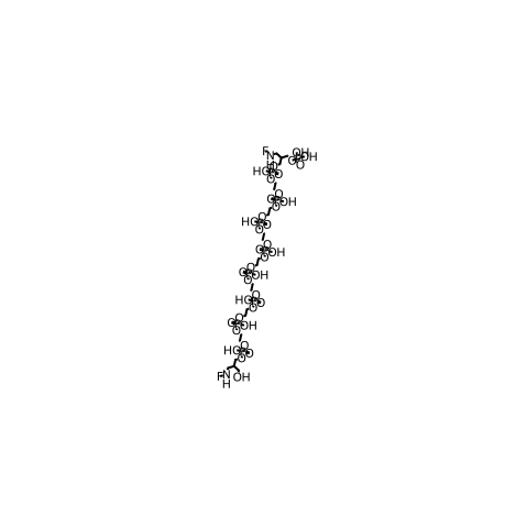 O=P(O)(O)OCC(CNF)COP(=O)(O)OCCOP(=O)(O)OCCOP(=O)(O)OCCOP(=O)(O)OCCOP(=O)(O)OCCOP(=O)(O)OCCOP(=O)(O)OCCOP(=O)(O)OCC(CO)CNF